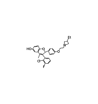 CCC1CN(CCOc2ccc(C3Oc4ccc(O)cc4C(C)=C3c3cccc(F)c3Cl)cc2)C1